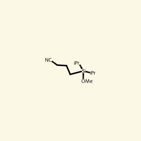 CO[Si](CCCC#N)(C(C)C)C(C)C